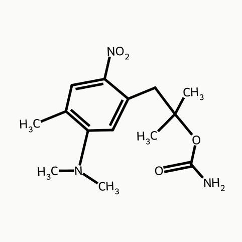 Cc1cc([N+](=O)[O-])c(CC(C)(C)OC(N)=O)cc1N(C)C